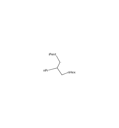 CCCCCCCC([CH]C(C)CCC)CCC